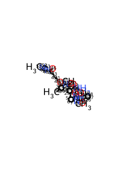 COc1c(-c2cccc3c2nc(N2C(=O)c4ccccc4C2=O)n3C)ccc(C(=O)N(C)c2ccc(C)cc2OCCCCCC(=O)N2CCN(C)CC2)c1C(N)=O